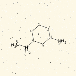 [CH2-][NH2+]C1CCCC(N)C1